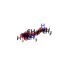 CCOC(=O)C1=C(COCCOCCOc2ccc(OCC(O)CNC(C)C)cc2)NC(C)=C(C(=O)OC)C1c1cccc([N+](=O)[O-])c1